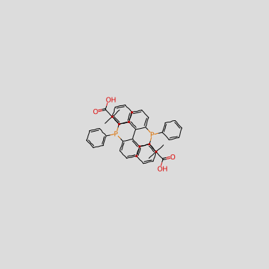 CC(C)(Cc1cccc(P(c2ccccc2)c2ccccc2)c1-c1c(CC(C)(C)C(=O)O)cccc1P(c1ccccc1)c1ccccc1)C(=O)O